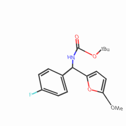 COc1ccc(C(NC(=O)OC(C)(C)C)c2ccc(F)cc2)o1